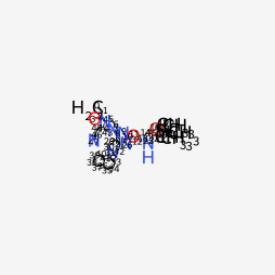 C=CC(=O)N1CCN(c2nc(OC[C@@H]3C[C@@H](O[Si](C)(C)C(C)(C)C)CN3)nc3c2CCN(c2cccc4ccccc24)C3)CC1CC#N